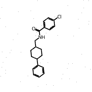 O=C(NCC1CCC(c2ccccc2)CC1)c1ccc(Cl)cc1